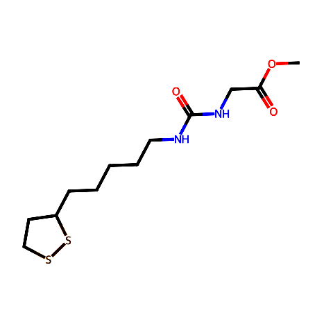 COC(=O)CNC(=O)NCCCCCC1CCSS1